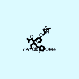 C=C(C)C(=O)c1c(CC(CCC)C(=O)O)c(C(=O)c2ccc(OC)cc2)n2ccc(OCc3csc(C)n3)cc12